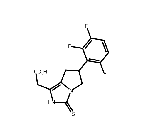 O=C(O)Cc1[nH]c(=S)n2c1CC(c1c(F)ccc(F)c1F)C2